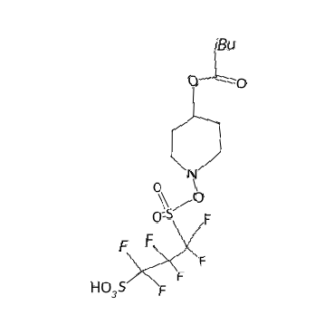 CCC(C)C(=O)OC1CCN(OS(=O)(=O)C(F)(F)C(F)(F)C(F)(F)S(=O)(=O)O)CC1